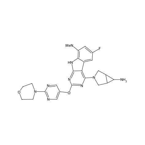 CNc1cc(F)cc2c1[nH]c1nc(Oc3cnc(N4CCOCC4)nc3)nc(N3CC4C(N)C4C3)c12